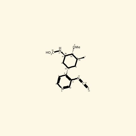 CO[C@@H]1[C@@H](C)C[C@H](c2ccncc2N=C=S)C[C@H]1NC(=O)O